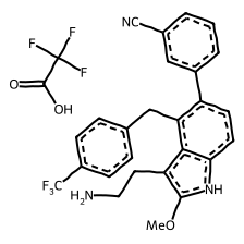 COc1[nH]c2ccc(-c3cccc(C#N)c3)c(Cc3ccc(C(F)(F)F)cc3)c2c1CCN.O=C(O)C(F)(F)F